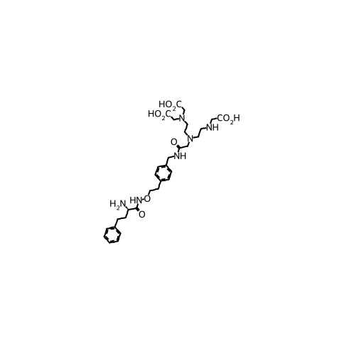 N[C@H](CCc1ccccc1)C(=O)NOCCc1ccc(CNC(=O)CN(CCNCC(=O)O)CCN(CC(=O)O)CC(=O)O)cc1